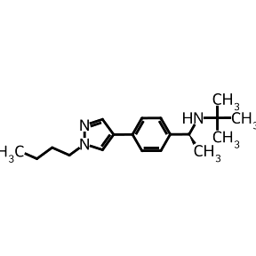 CCCCn1cc(-c2ccc([C@H](C)NC(C)(C)C)cc2)cn1